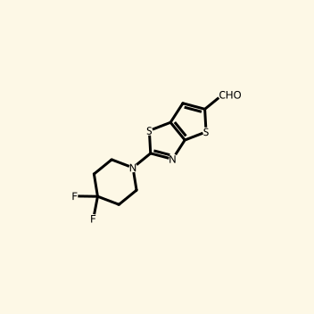 O=Cc1cc2sc(N3CCC(F)(F)CC3)nc2s1